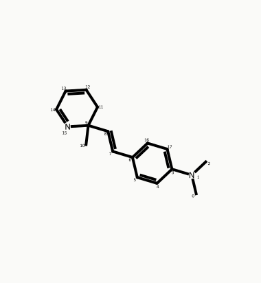 CN(C)c1ccc(/C=C/C2(C)CC=CC=N2)cc1